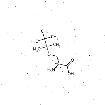 CC(C)(C)[Si](C)(C)OC[C@H](N)C(=O)O